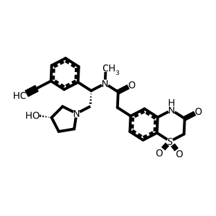 C#Cc1cccc([C@@H](CN2CC[C@H](O)C2)N(C)C(=O)Cc2ccc3c(c2)NC(=O)CS3(=O)=O)c1